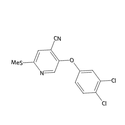 CSc1cc(C#N)c(Oc2ccc(Cl)c(Cl)c2)cn1